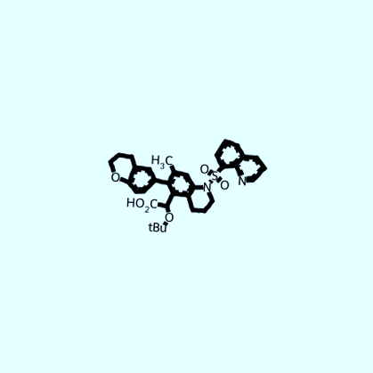 Cc1cc2c(c(C(OC(C)(C)C)C(=O)O)c1-c1ccc3c(c1)CCCO3)CCCN2S(=O)(=O)c1cccc2cccnc12